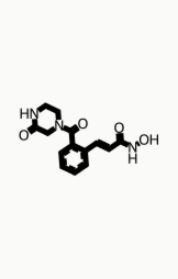 O=C(/C=C/c1ccccc1C(=O)N1CCNC(=O)C1)NO